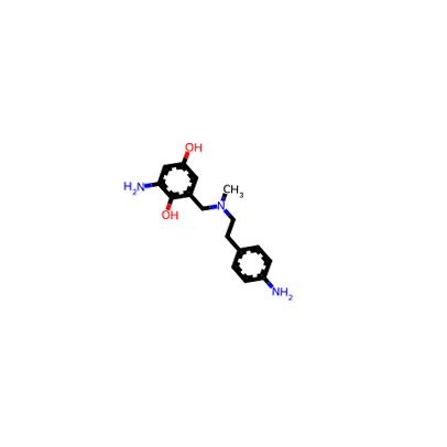 CN(CCc1ccc(N)cc1)Cc1cc(O)cc(N)c1O